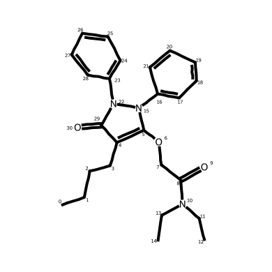 CCCCc1c(OCC(=O)N(CC)CC)n(-c2ccccc2)n(-c2ccccc2)c1=O